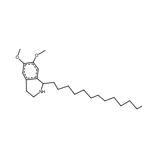 CCCCCCCCCCCCCC1NCCc2cc(OC)c(OC)cc21